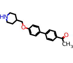 CC(=O)c1ccc(-c2ccc(OCC3CCNCC3)cc2)cc1